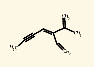 C=C/C(=C\C#CC)C(=C)C